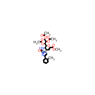 COC(=O)C1=C[C@H](n2cc(-c3ccccc3C)nn2)[C@@H](NC(C)=O)[C@H]([C@H](OC(C)=O)C(COC(C)=O)OC(C)=O)O1